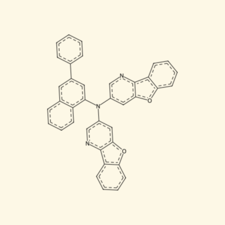 c1ccc(-c2cc(N(c3cnc4c(c3)oc3ccccc34)c3cnc4c(c3)oc3ccccc34)c3ccccc3c2)cc1